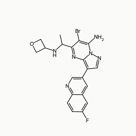 CC(NC1COC1)c1nc2c(-c3cnc4ccc(F)cc4c3)cnn2c(N)c1Br